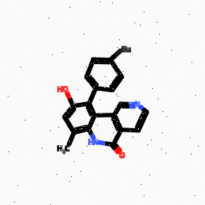 CCC(C)c1ccc(-c2c(O)cc(C)c3[nH]c(=O)c4ccncc4c23)cc1